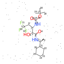 C[C@H](NC(=O)C(O)C(CC(F)(F)F)NC(=O)OC(C)(C)C)C1CCCCC1